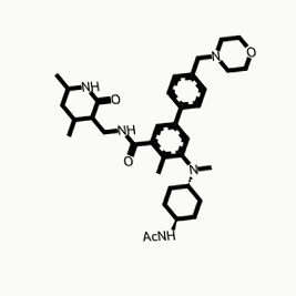 CC(=O)N[C@H]1CC[C@H](N(C)c2cc(-c3ccc(CN4CCOCC4)cc3)cc(C(=O)NCC3C(=O)NC(C)CC3C)c2C)CC1